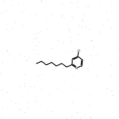 CCCCCCCc1cc(Cl)ccn1